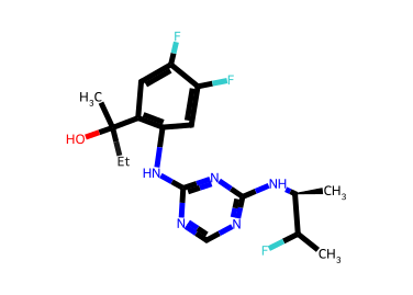 CCC(C)(O)c1cc(F)c(F)cc1Nc1ncnc(N[C@@H](C)C(C)F)n1